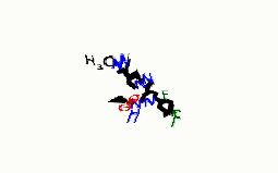 Cn1cc(-c2ccn3c(-c4cc(NS(=O)(=O)C5CC5)nc(-c5ccc(F)cc5F)c4)cnc3c2)cn1